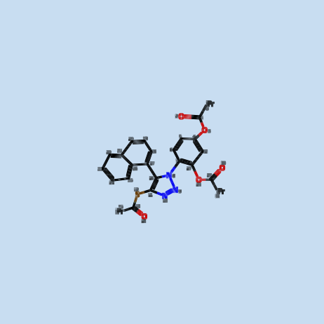 CC(C)C(=O)Oc1ccc(-n2nnc(SC(=O)C(C)C)c2-c2cccc3ccccc23)c(OC(=O)C(C)C)c1